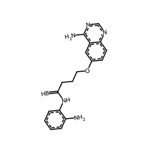 B=C(CCCOc1ccc2ncnc(N)c2c1)Nc1ccccc1N